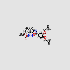 CC(NC(=O)OC(C)(C)C)c1oc(-c2ccc(OCC3CC3)c(OCC3CC3)c2)nc1C(=O)O